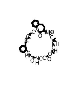 C[C@@H]1CNC(C)(C)CC(=O)N[C@@H]2CCc3ccccc3N(Cc3ccc(cc3)-c3ccccc3CNC(=O)NCCC(=O)O1)C2=O